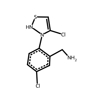 NCc1cc(Cl)ccc1N1NSC=C1Cl